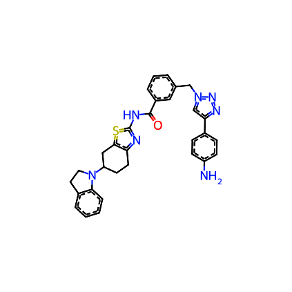 Nc1ccc(-c2cn(Cc3cccc(C(=O)Nc4nc5c(s4)CC(N4CCc6ccccc64)CC5)c3)nn2)cc1